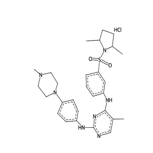 Cc1cnc(Nc2ccc(N3CCN(C)CC3)cc2)nc1Nc1cccc(S(=O)(=O)N2C(C)CCC2C)c1.Cl